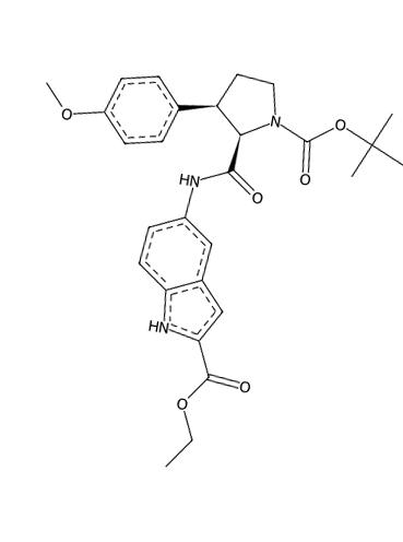 CCOC(=O)c1cc2cc(NC(=O)[C@H]3[C@@H](c4ccc(OC)cc4)CCN3C(=O)OC(C)(C)C)ccc2[nH]1